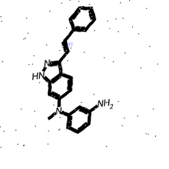 CN(c1cccc(N)c1)c1ccc2c(/C=C/c3ccccc3)n[nH]c2c1